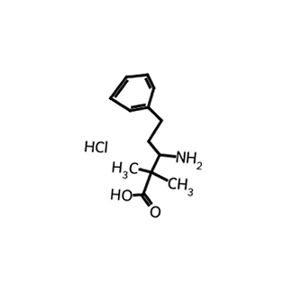 CC(C)(C(=O)O)C(N)CCc1ccccc1.Cl